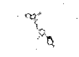 Oc1cc2c(cc1OCCCN1CCN(c3ccc(F)cc3)CC1)CCC2